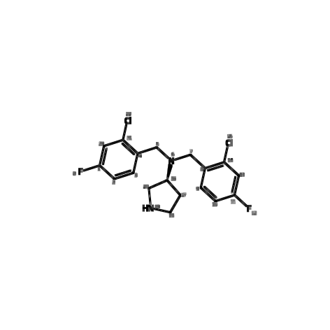 Fc1ccc(CN(Cc2ccc(F)cc2Cl)[C@H]2CCNC2)c(Cl)c1